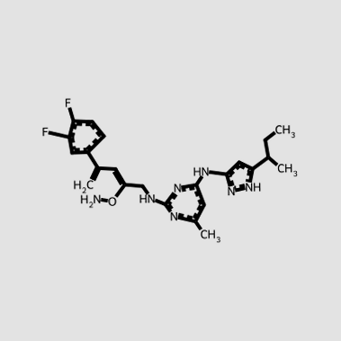 C=C(/C=C(/CNc1nc(C)cc(Nc2cc(C(C)CC)[nH]n2)n1)ON)c1ccc(F)c(F)c1